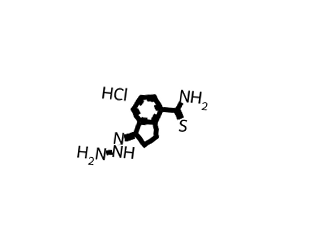 Cl.NNN=C1CCc2c(C(N)=S)cccc21